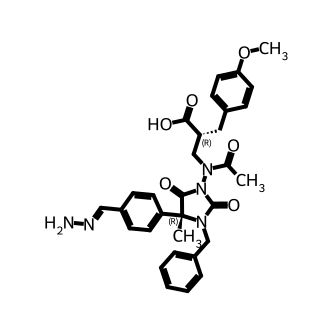 COc1ccc(C[C@H](CN(C(C)=O)N2C(=O)N(Cc3ccccc3)[C@](C)(c3ccc(C=NN)cc3)C2=O)C(=O)O)cc1